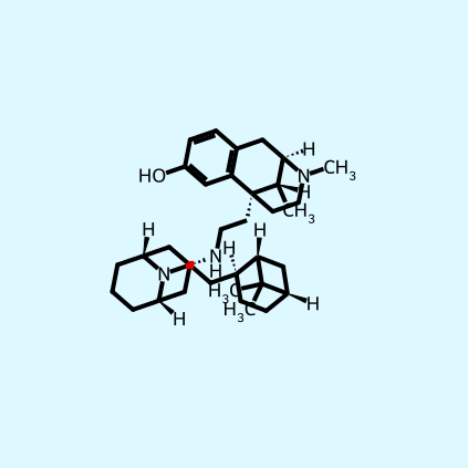 C[C@H]1[C@H]2Cc3ccc(O)cc3[C@]1(CCN[C@H]1C[C@H]3CCC[C@@H](C1)N3CC[C@@H]1CC[C@H]3C[C@@H]1C3(C)C)CCN2C